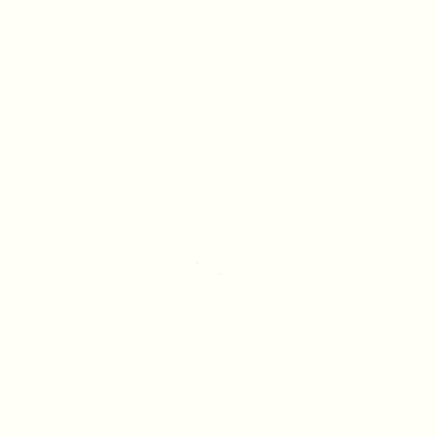 CO[Si](OC)(OC)C(=O)C=Cc1ccccc1